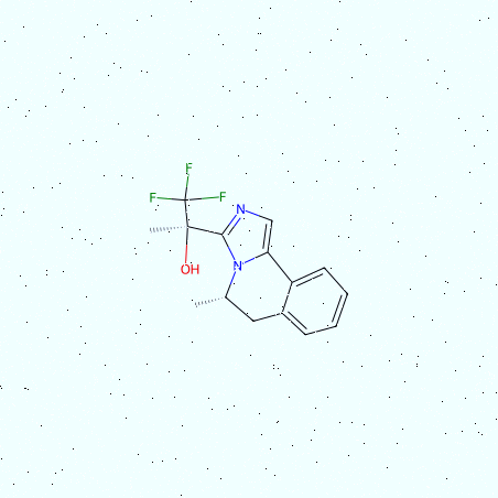 C[C@H]1Cc2ccccc2-c2cnc([C@@](C)(O)C(F)(F)F)n21